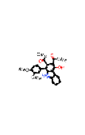 COC(=O)c1c(C(=O)OC)c(O)c2c([nH]c3ccccc32)c1-c1ccc(OC)c(OC)c1